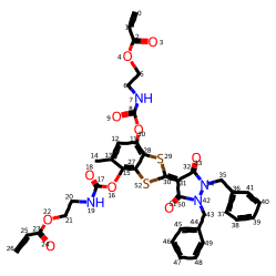 C=CC(=O)OCCNC(=O)Oc1cc(C)c(OC(=O)NCCOC(=O)C=C)c2c1SC(=C1C(=O)N(Cc3ccccc3)N(Cc3ccccc3)C1=O)S2